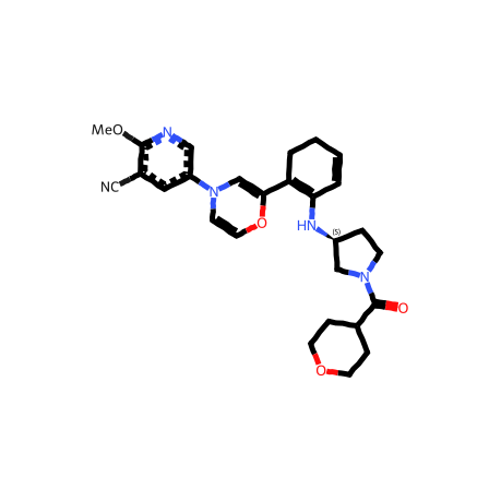 COc1ncc(N2C=COC(C3=C(N[C@H]4CCN(C(=O)C5CCOCC5)C4)C=CCC3)=C2)cc1C#N